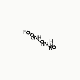 O=C(COCc1ccc(F)cc1)NCCCc1ccc(CNCCc2nc3ccccc3[nH]2)cc1